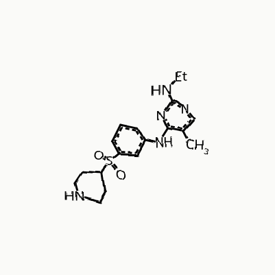 CCNc1ncc(C)c(Nc2cccc(S(=O)(=O)C3CCNCC3)c2)n1